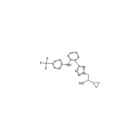 OC(Cn1nnc(-c2ccccc2Nc2ccc(C(F)(F)F)cc2)n1)C1CC1